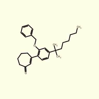 CCCCCCC(C)(C)c1ccc(C2=CC(=O)CCCC2)c(OCc2ccccc2)c1